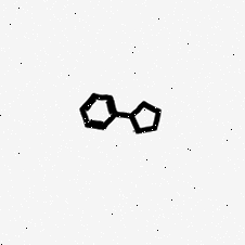 [CH]1CCCC1c1ccccc1